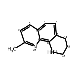 Cc1ccc2ccc3c(c2n1)NCCC3